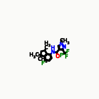 CC1CC(C)(C)c2c(F)ccc(NC(=O)c3cn(C)nc3C(F)(F)F)c21